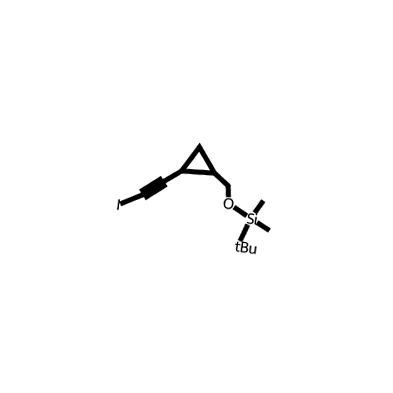 CC(C)(C)[Si](C)(C)OCC1CC1C#CI